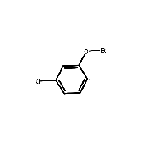 CCOc1[c]ccc(Cl)c1